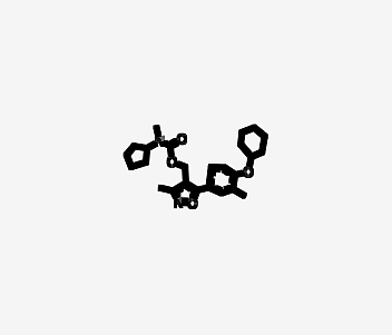 Cc1cc(-c2onc(C)c2COC(=O)N(C)C2CCCC2)ccc1OC1CCCCC1